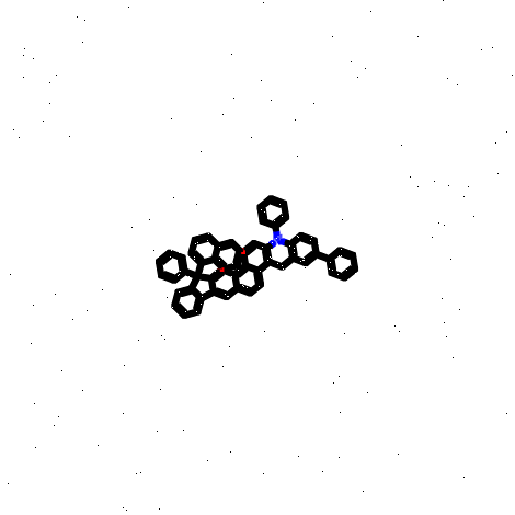 c1ccc(-c2ccc3c(c2)Cc2c(ccc4c2ccc2cc5c(cc24)C(c2ccccc2)(c2cccc4ccccc24)c2ccccc2-5)N3c2ccccc2)cc1